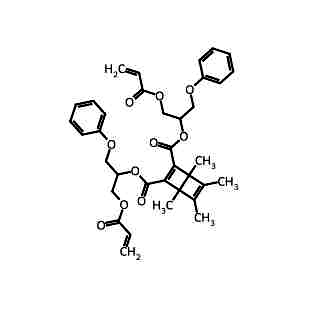 C=CC(=O)OCC(COc1ccccc1)OC(=O)C1=C(C(=O)OC(COC(=O)C=C)COc2ccccc2)C2(C)C(C)=C(C)C12C